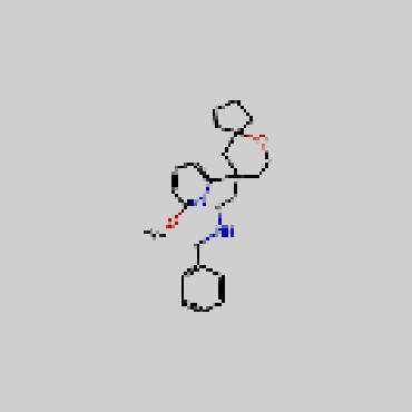 COc1cccc(C2(CCNCc3ccccc3)CCOC3(CCCC3)C2)n1